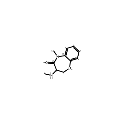 CNC1COc2ccccc2N(C)C1=O